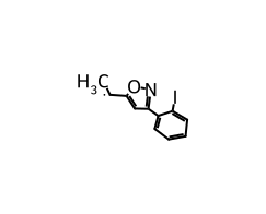 C[CH]c1cc(-c2ccccc2I)no1